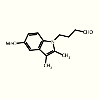 COc1ccc2c(c1)c(C)c(C)n2CCCC=O